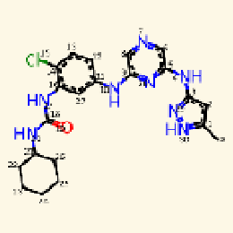 Cc1cc(Nc2cncc(Nc3ccc(Cl)c(NC(=O)NC4CCCCC4)c3)n2)n[nH]1